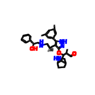 Cc1cc(C)cc(-c2[nH]nc(OC(C(C)C=O)C3C4CCC3NC4)c2[C@H](C)CNCC(O)c2ccccc2)c1